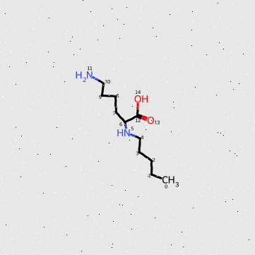 CCCCCNC(CCCCN)C(=O)O